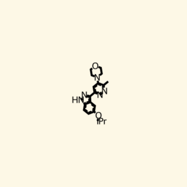 Cc1nnc(-c2n[nH]c3ccc(OC(C)C)cc23)cc1N1CCOCC1